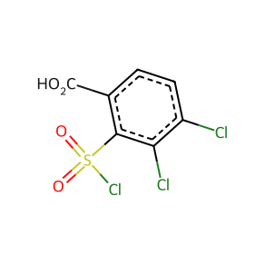 O=C(O)c1ccc(Cl)c(Cl)c1S(=O)(=O)Cl